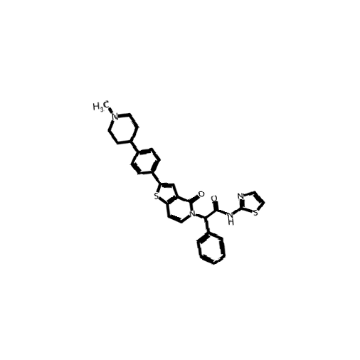 CN1CCC(c2ccc(-c3cc4c(=O)n(C(C(=O)Nc5nccs5)c5ccccc5)ccc4s3)cc2)CC1